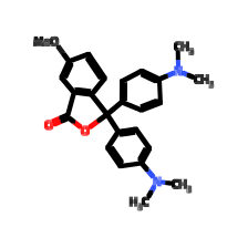 COc1ccc2c(c1)C(=O)OC2(c1ccc(N(C)C)cc1)c1ccc(N(C)C)cc1